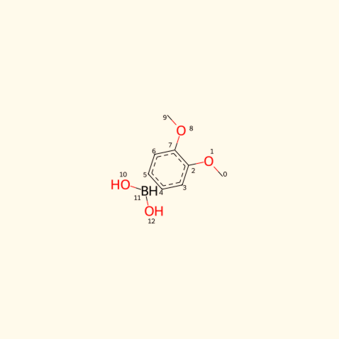 COc1ccccc1OC.OBO